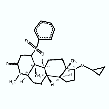 CN1C(=O)CC(S(=O)(=O)c2ccccc2)[C@]2(C)[C@H]3CC[C@]4(C)[C@@H](OC5CC5)CC[C@H]4[C@@H]3CC[C@@H]12